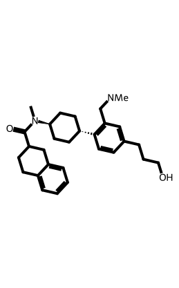 CNCc1cc(CCCO)ccc1[C@H]1CC[C@H](N(C)C(=O)C2CCc3ccccc3C2)CC1